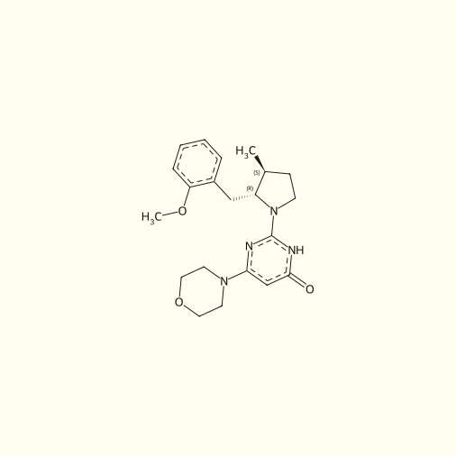 COc1ccccc1C[C@@H]1[C@@H](C)CCN1c1nc(N2CCOCC2)cc(=O)[nH]1